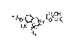 COc1ccc(CN2C(=O)CC2[C@@H]2COC(C)(C)O2)c(OC)c1N